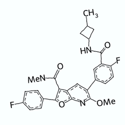 CNC(=O)c1c(-c2ccc(F)cc2)oc2nc(OC)c(-c3ccc(F)c(C(=O)NC4CC(C)C4)c3)cc12